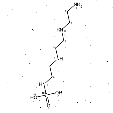 NCCNCCNCCNP(=O)(O)O